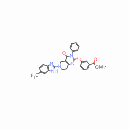 COC(=O)c1cccc(Oc2nc3c(c(=O)n2-c2ccccc2)CN(c2nc4ccc(C(F)(F)F)cc4[nH]2)CC3)c1